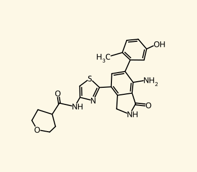 Cc1ccc(O)cc1-c1cc(-c2nc(NC(=O)C3CCOCC3)cs2)c2c(c1N)C(=O)NC2